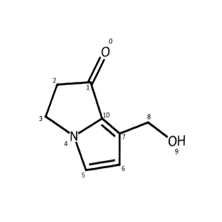 O=C1CCn2ccc(CO)c21